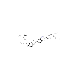 CCCC(/C=C\c1cc(-c2ccc3c(ccc4nc([C@@H]5CCCN5C(=O)[C@@H](NC(=O)OC)C(C)C)[nH]c43)c2)ccc1C)c1cnc(CN(CCC)C(=O)CN)[nH]1